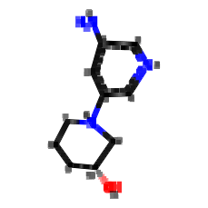 Nc1cncc(N2CCC[C@@H](O)C2)c1